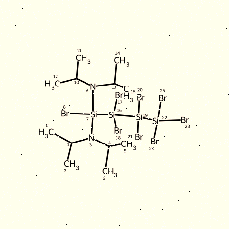 CC(C)N(C(C)C)[Si](Br)(N(C(C)C)C(C)C)[Si](Br)(Br)[Si](Br)(Br)[Si](Br)(Br)Br